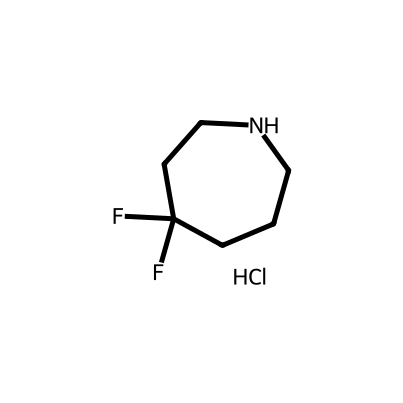 Cl.FC1(F)CCCNCC1